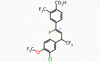 O=C(O)c1ccc(/C(F)=C/C(c2ccc(OC(F)(F)F)c(Cl)c2)C(F)(F)F)cc1C(F)(F)F